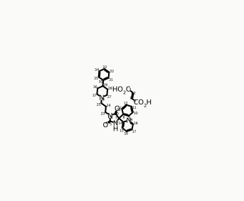 O=C(O)C=CC(=O)O.O=C1NC(c2ccccc2)(c2ccccn2)C(=O)N1CCCN1CCC(c2ccccc2)CC1